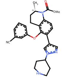 COC(=O)N1c2ccc(-c3cnn(C4CCNCC4)c3)c(Oc3cccc(C#N)c3)c2CC[C@@H]1C